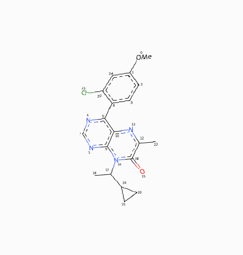 COc1ccc(-c2ncnc3c2nc(C)c(=O)n3C(C)C2CC2)c(Cl)c1